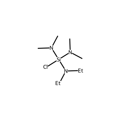 CCN(CC)[Si](Cl)(N(C)C)N(C)C